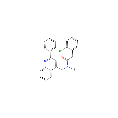 CCCN(Cc1cc(-c2ccccc2)nc2ccccc12)C(=O)Cc1ccccc1Br